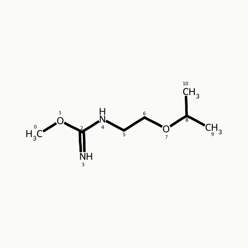 COC(=N)NCCOC(C)C